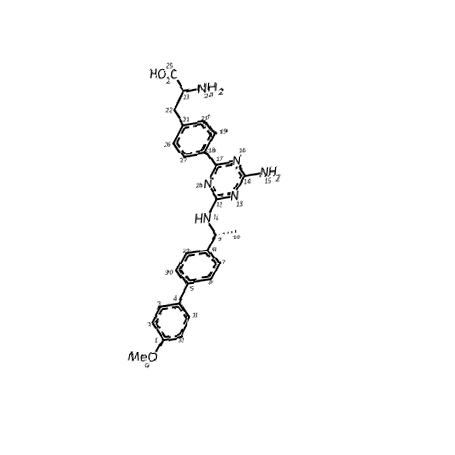 COc1ccc(-c2ccc([C@@H](C)Nc3nc(N)nc(-c4ccc(CC(N)C(=O)O)cc4)n3)cc2)cc1